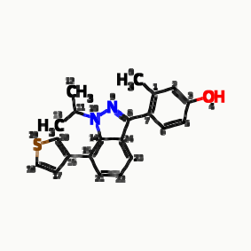 Cc1cc(O)ccc1-c1nn(C(C)C)c2c(-c3ccsc3)cccc12